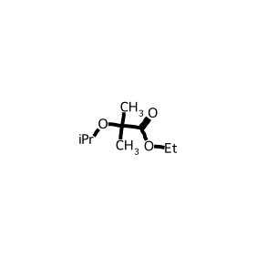 CCOC(=O)C(C)(C)OC(C)C